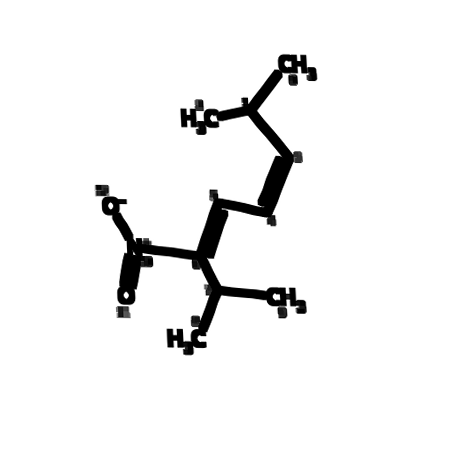 CC(C)/C=C\C=C(/C(C)C)[N+](=O)[O-]